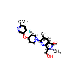 COc1ccc(O[C@@H]2CCN(c3nc4c(cc3C)C(=O)N(C)C4CO)C[C@H]2F)cn1